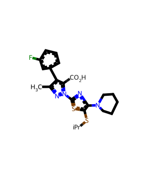 Cc1nn(-c2nc(N3CCCCC3)c(SC(C)C)s2)c(C(=O)O)c1-c1cccc(F)c1